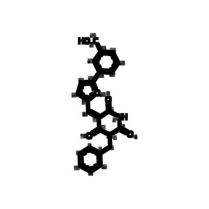 O=C1NC(=O)N(Cc2ccccc2)C(=O)C1=Cc1ccc(-c2cccc(C(=O)O)c2)o1